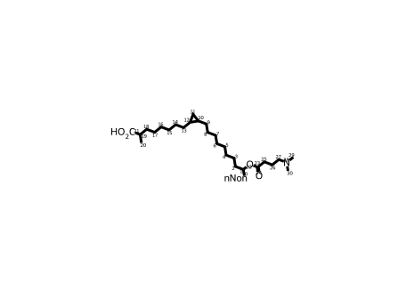 CCCCCCCCCC(CCCCCCCCC1CC1CCCCCCC(C)C(=O)O)OC(=O)CCCN(C)C